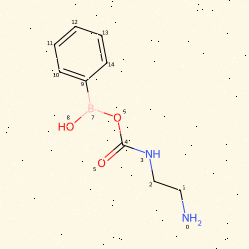 NCCNC(=O)OB(O)c1ccccc1